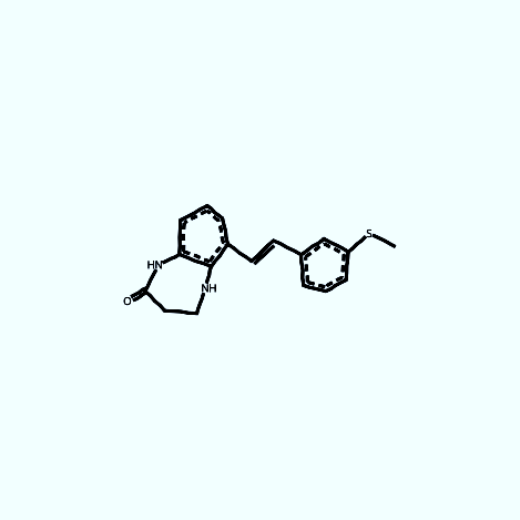 CSc1cccc(/C=C/c2cccc3c2NCCC(=O)N3)c1